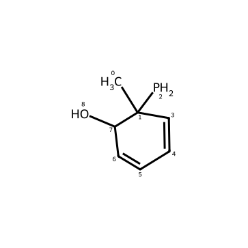 CC1(P)C=CC=CC1O